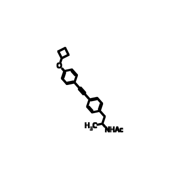 CC(=O)NC(C)Cc1ccc(C#Cc2ccc(OC3CCC3)cc2)cc1